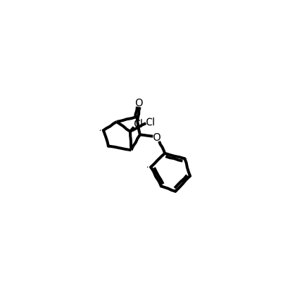 O=C1C(Oc2[c]cccc2)C2C[CH]C1C2(Cl)Cl